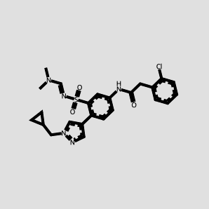 CN(C)C=NS(=O)(=O)c1cc(NC(=O)Cc2ccccc2Cl)ccc1-c1cnn(CC2CC2)c1